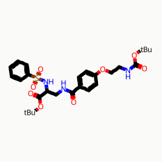 CC(C)(C)OC(=O)NCCOc1ccc(C(=O)NCC(NS(=O)(=O)c2ccccc2)C(=O)OC(C)(C)C)cc1